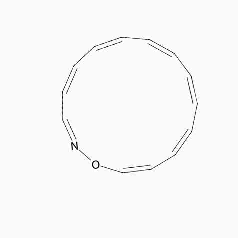 C1=CC=CC=CC=NOC=CC=CC=C1